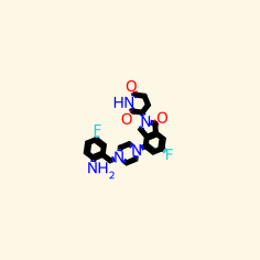 Nc1ccc(F)cc1CN1CCN(c2cc(F)cc3c2CN(C2CCC(=O)NC2=O)C3=O)CC1